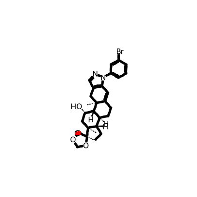 C[C@]12Cc3cnn(-c4cccc(Br)c4)c3C=C1CC[C@@H]1[C@@H]2[C@@H](O)C[C@@]2(C)[C@H]1CC[C@@]21OCOC12COCO2